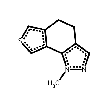 Cn1ncc2c1-c1cscc1CC2